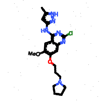 COc1cc2c(Nc3cc(C)[nH]n3)nc(Cl)nc2cc1OCCCN1CCCC1